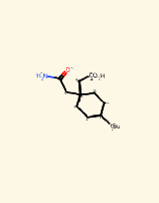 CC(C)(C)C1CCC(CC(N)=O)(CC(=O)O)CC1